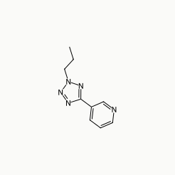 CCCn1nnc(-c2cccnc2)n1